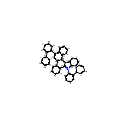 C1=CCC(c2ccccc2-n2c3ccccc3c3c4c5ccccc5c(-c5ccccc5-c5ccccc5)cc4c4ccccc4c32)C=C1